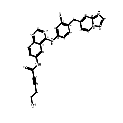 O=C(C#CCCO)Nc1ccc2ncnc(Nc3ccc(Cc4ccn5ncnc5c4)c(F)c3)c2c1